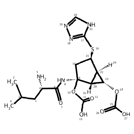 CC(C)C[C@H](N)C(=O)N[C@]1(OC(=O)O)C[C@@H](Sc2nnc[nH]2)[C@H]2[C@H](OC(=O)O)[C@@H]21